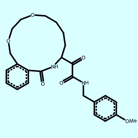 COc1ccc(CNC(=O)C(=O)C2CCCCOCCOCc3ccccc3C(=O)N2)cc1